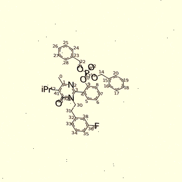 Cc1nc(-c2ccccc2OP(=O)(OCc2ccccc2)OCc2ccccc2)n(CCc2cccc(F)c2)c(=O)c1C(C)C